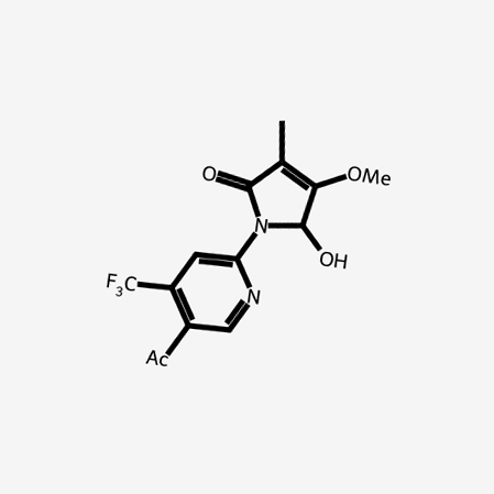 COC1=C(C)C(=O)N(c2cc(C(F)(F)F)c(C(C)=O)cn2)C1O